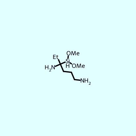 CCC(N)(CCCN)[SiH](OC)OC